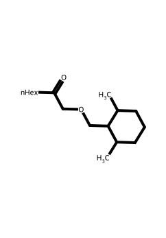 CCCCCCC(=O)COCC1C(C)CCCC1C